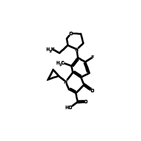 Cc1c(N2CCOCC2CN)c(F)cc2c(=O)c(C(=O)O)cn(C3CC3)c12